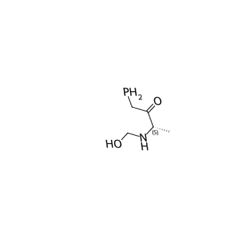 C[C@H](NCO)C(=O)CP